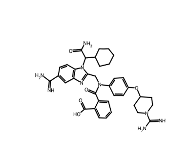 N=C(N)c1ccc2c(c1)nc(CN(C(=O)c1ccccc1C(=O)O)c1ccc(OC3CCN(C(=N)N)CC3)cc1)n2C(C(N)=O)C1CCCCC1